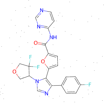 O=C(Nc1ccncn1)c1ccc(-c2c(-c3ccc(F)cc3)ncn2C2COCC2(F)F)o1